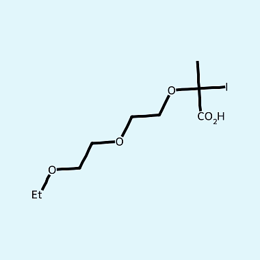 CCOCCOCCOC(C)(I)C(=O)O